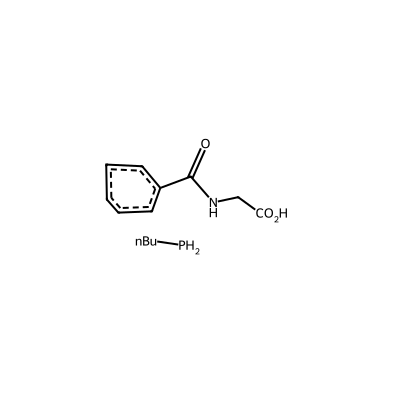 CCCCP.O=C(O)CNC(=O)c1ccccc1